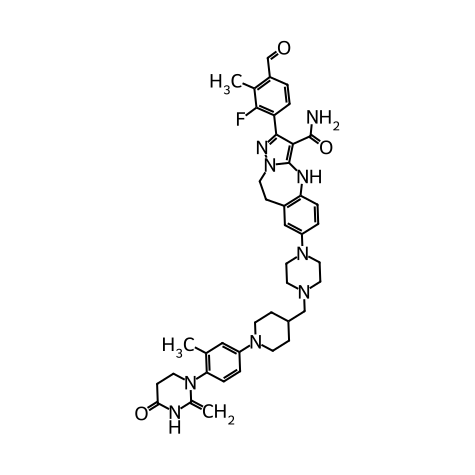 C=C1NC(=O)CCN1c1ccc(N2CCC(CN3CCN(c4ccc5c(c4)CCn4nc(-c6ccc(C=O)c(C)c6F)c(C(N)=O)c4N5)CC3)CC2)cc1C